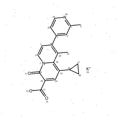 Cc1cc(-c2ccn3c(=O)c(C(=O)[O-])cc(C4CC4)c3c2C)ccn1.[K+]